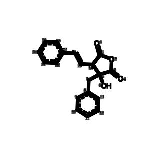 O=C1OC(=O)C(O)(Cc2ccccc2)C1C=Cc1ccccc1